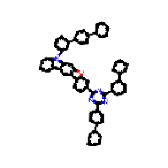 c1ccc(-c2ccc(-c3cccc(-n4c5ccccc5c5cc6c(cc54)oc4cc(-c5nc(-c7ccc(-c8ccccc8)cc7)nc(-c7cccc(-c8ccccc8)c7)n5)ccc46)c3)cc2)cc1